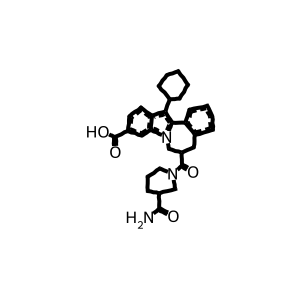 NC(=O)C1CCCN(C(=O)C2Cc3ccccc3-c3c(C4CCCCC4)c4ccc(C(=O)O)cc4n3C2)C1